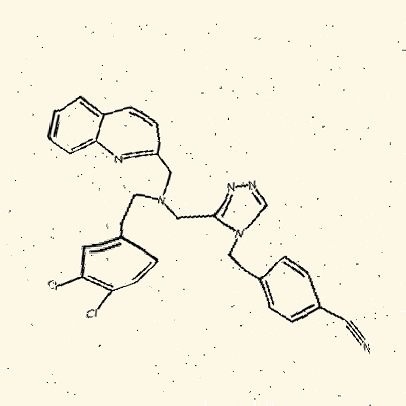 N#Cc1ccc(Cn2cnnc2CN(Cc2ccc(Cl)c(Cl)c2)Cc2ccc3ccccc3n2)cc1